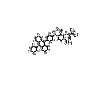 C=Cc1ccc2c(c1CC(=N)C(CC)CC)N=CCC2c1ccc(-c2c3ccccc3c(-c3ccccc3)c3ccccc23)cc1